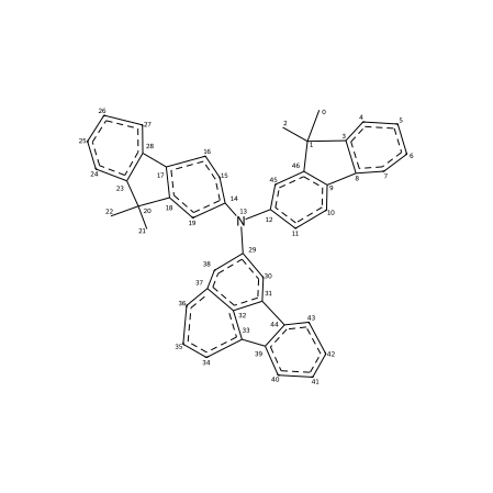 CC1(C)c2ccccc2-c2ccc(N(c3ccc4c(c3)C(C)(C)c3ccccc3-4)c3cc4c5c(cccc5c3)-c3ccccc3-4)cc21